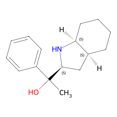 CC(O)(c1ccccc1)[C@@H]1C[C@@H]2CCCC[C@@H]2N1